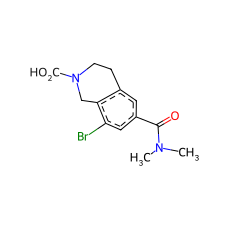 CN(C)C(=O)c1cc(Br)c2c(c1)CCN(C(=O)O)C2